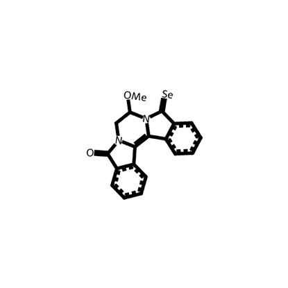 COC1CN2C(=O)c3ccccc3C2=C2c3ccccc3C(=[Se])N21